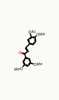 COc1cc(OC)cc(C(=O)/C=C/c2ccc(OC)c(OC(C)=O)c2)c1